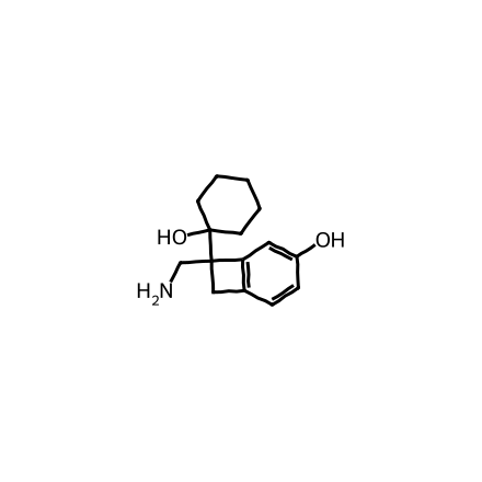 NCC1(C2(O)CCCCC2)Cc2ccc(O)cc21